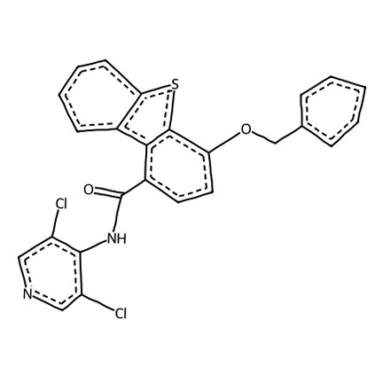 O=C(Nc1c(Cl)cncc1Cl)c1ccc(OCc2ccccc2)c2sc3ccccc3c12